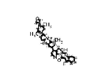 C[C@@H]1CN(c2ccc(Nc3cc(-c4ccnc(-n5ccn6c(c(F)c7ccccc76)c5=O)c4CO)cn(C)c3=O)nc2)[C@@H](C)CN1C1COC1